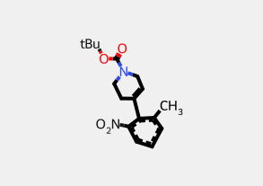 Cc1cccc([N+](=O)[O-])c1C1=CCN(C(=O)OC(C)(C)C)CC1